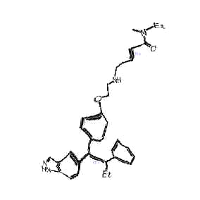 CC/C(=C(/c1ccc(OCCNC/C=C/C(=O)N(C)CC)cc1)c1ccc2[nH]ncc2c1)c1ccccc1